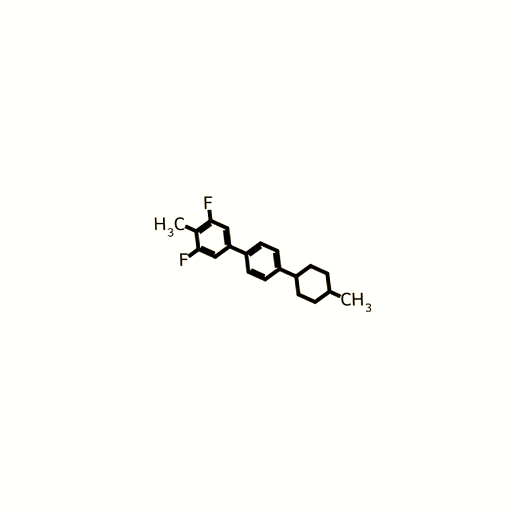 Cc1c(F)cc(-c2ccc(C3CCC(C)CC3)cc2)cc1F